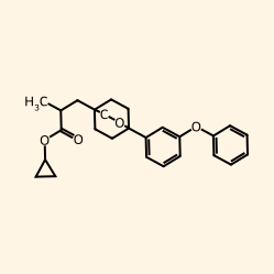 CC(CC12CCC(c3cccc(Oc4ccccc4)c3)(CC1)OC2)C(=O)OC1CC1